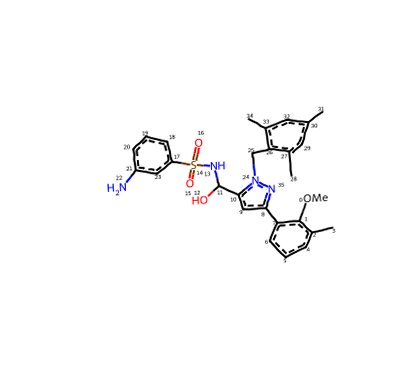 COc1c(C)cccc1-c1cc(C(O)NS(=O)(=O)c2cccc(N)c2)n(Cc2c(C)cc(C)cc2C)n1